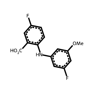 COc1cc(F)cc(Nc2ccc(F)cc2C(=O)O)c1